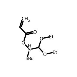 C=CC(=O)O[SiH](CCCC)C(OCC)OCC